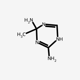 CC1(N)N=CNC(N)=N1